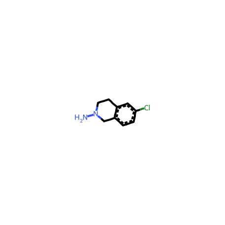 NN1CCc2cc(Cl)ccc2C1